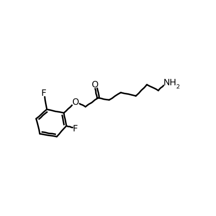 NCCCCCC(=O)COc1c(F)cccc1F